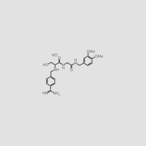 COc1ccc(CNC(=O)CNC(=O)C(CO)NCc2ccc(C(=N)N)cc2)cc1OC.Cl